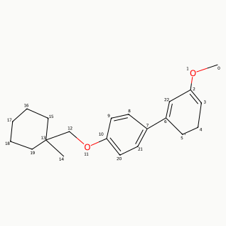 COC1=CC[CH]C(c2ccc(OCC3(C)CCCCC3)cc2)=C1